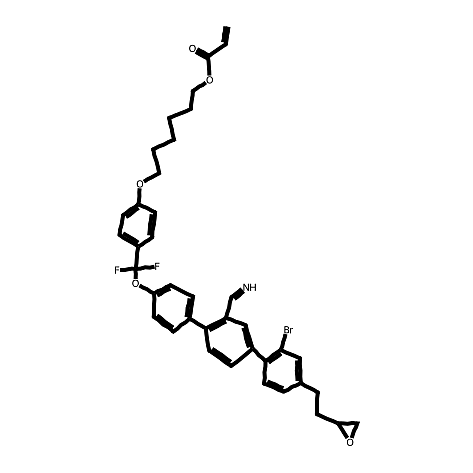 C=CC(=O)OCCCCCCOc1ccc(C(F)(F)Oc2ccc(-c3ccc(-c4ccc(CCC5CO5)cc4Br)cc3C=N)cc2)cc1